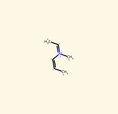 C/C=C\[N+](C)=C/C